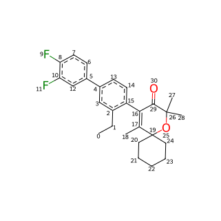 CCc1cc(-c2ccc(F)c(F)c2)ccc1C1=C(C)C2(CCCCC2)OC(C)(C)C1=O